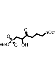 CCCCCCCCCCCC(=O)C(O)CS(=O)(=O)OC